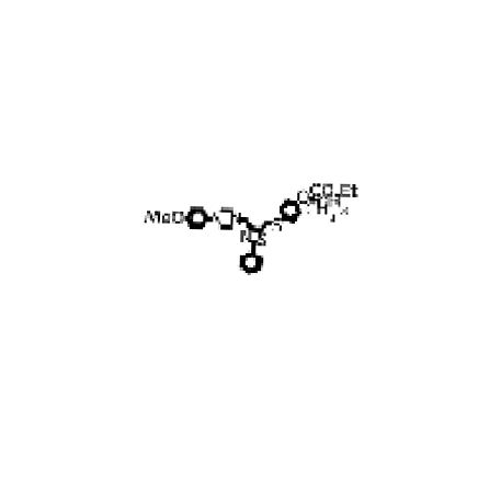 CCOC(=O)C(C)(C)Oc1ccc(SCc2sc(-c3ccccc3)nc2CN2CCN(c3ccc(OC)cc3)CC2)cc1